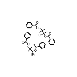 CC(C)C(OC(=O)c1ccccc1)C(C)(C)COC(=O)c1ccccc1.CCC(C)(OC(=O)c1ccccc1)C(C)(C)COC(=O)c1ccccc1